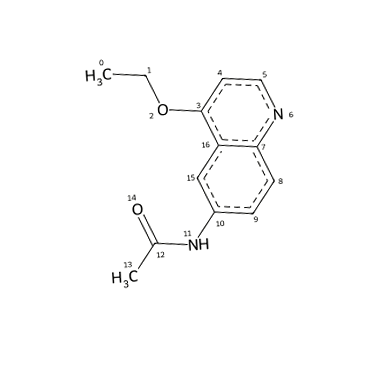 CCOc1ccnc2ccc(NC(C)=O)cc12